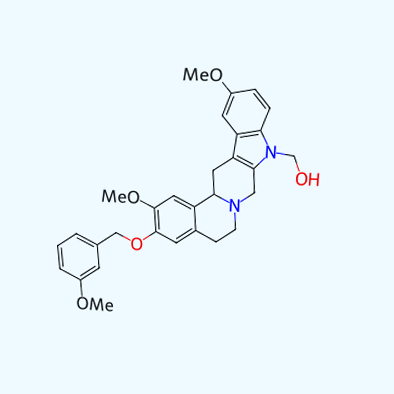 COc1cccc(COc2cc3c(cc2OC)C2Cc4c(n(CO)c5ccc(OC)cc45)CN2CC3)c1